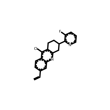 C=Cc1ccc2c(Cl)c3c(nc2c1)CC(c1ncccc1F)CC3